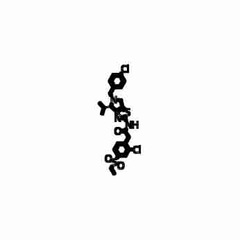 CCS(=O)(=O)c1ccc(CC(=O)Nc2nc3c(s2)CN(Cc2ccc(Cl)cc2)[C@H]3C(C)C)c(Cl)c1